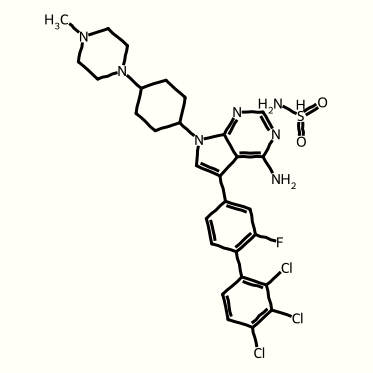 CN1CCN(C2CCC(n3cc(-c4ccc(-c5ccc(Cl)c(Cl)c5Cl)c(F)c4)c4c(N)ncnc43)CC2)CC1.N[SH](=O)=O